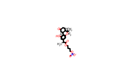 CC(C(=O)OCCCCO[N+](=O)[O-])c1cc(O)c2c(c1)OC(C)(C)[C@@H]1CCC(=O)C[C@@H]21